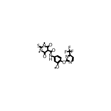 COc1cc(NC(=O)C2C(=O)N(C)C(=S)N(C)C2=O)ccc1Oc1nccc(C(F)(F)F)n1